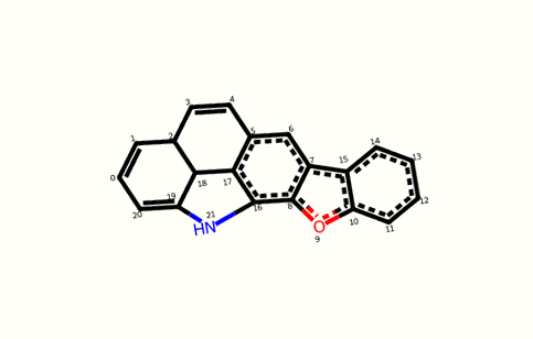 C1=CC2C=Cc3cc4c(oc5ccccc54)c4c3C2C(=C1)N4